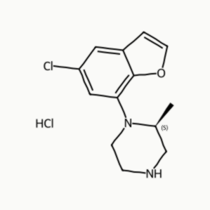 C[C@H]1CNCCN1c1cc(Cl)cc2ccoc12.Cl